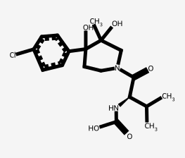 CC(C)[C@@H](NC(=O)O)C(=O)N1CCC(O)(c2ccc(Cl)cc2)C(C)(O)C1